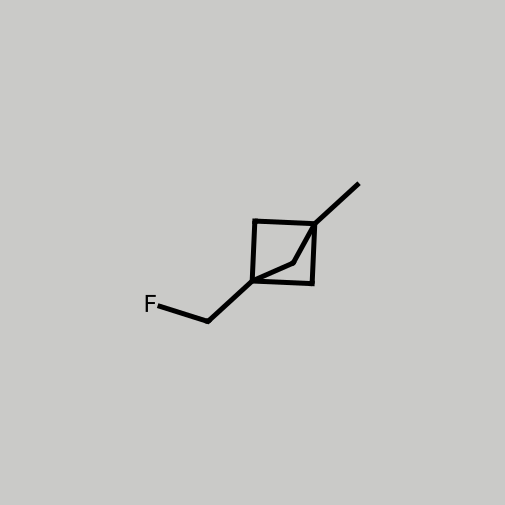 CC12CC(CF)(C1)C2